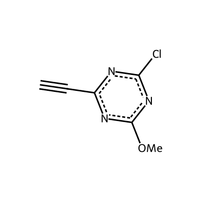 C#Cc1nc(Cl)nc(OC)n1